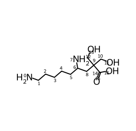 NCCCCCC(N)CC(CO)(CO)C(=O)O